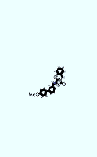 COc1ccc(-c2cccc(/C=C3\SC(=O)N(Cc4ccccc4)C3=O)c2)cc1